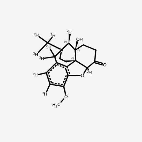 [2H]c1c([2H])c2c3c(c1OC)OC1([2H])C(=O)CC[C@]4(O)[C@@]31CCN(C([2H])([2H])[2H])[C@]4([2H])C2([2H])[2H]